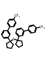 FC(F)(F)c1ccc(-c2cccc(C3(SC4(c5cccc(-c6ccc(C(F)(F)F)cc6)c5)CCCC4)CCCC3)c2)cc1